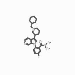 CC(C)N(C(=O)c1cc(F)ccc1-n1cc(C2CCCN(CC3CCCCC3)C2)c2ccncc21)C(C)C